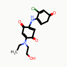 CCN(CCO)C1=CC(=O)C(NC2=CCC(=O)C=C2Cl)=CC1=O